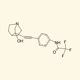 O=C(Nc1ccc(C#CC2(O)CN3CCC2CC3)cc1)C(F)(F)F